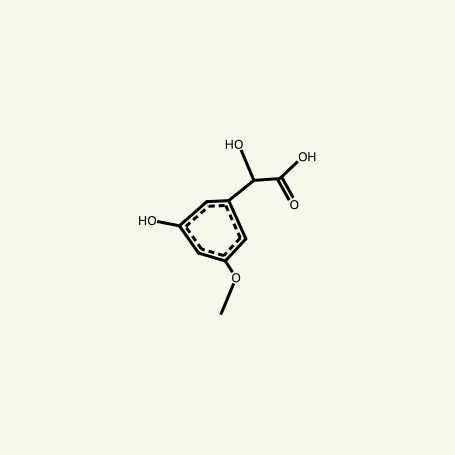 COc1cc(O)cc(C(O)C(=O)O)c1